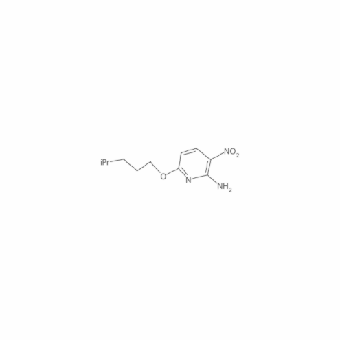 CC(C)CCCOc1ccc([N+](=O)[O-])c(N)n1